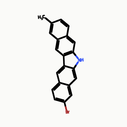 Cc1ccc2cc3[nH]c4cc5cc(Br)ccc5cc4c3cc2c1